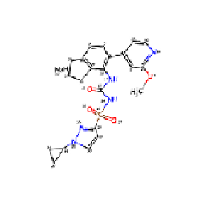 COc1cc(-c2ccc3c(c2NC(=O)NS(=O)(=O)c2ccn(C4CC4)n2)CCC3)ccn1.[NaH]